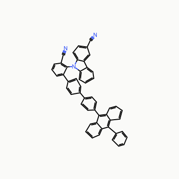 N#Cc1ccc2c(c1)c1ccccc1n2-c1c(C#N)cccc1-c1ccc(-c2ccc(-c3c4ccccc4c(-c4ccccc4)c4ccccc34)cc2)cc1